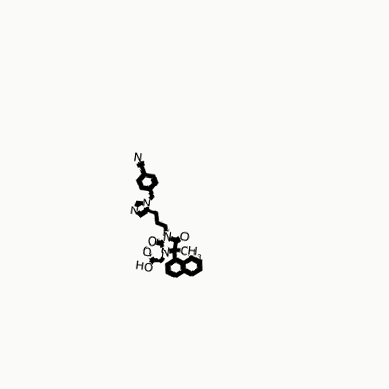 CC1(c2cccc3ccccc23)C(=O)N(CCCc2cncn2Cc2ccc(C#N)cc2)C(=O)N1CC(=O)O